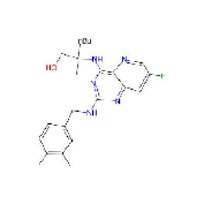 CCCCC(C)(CO)Nc1nc(NCc2ccc(C)c(C)c2)nc2cc(F)cnc12